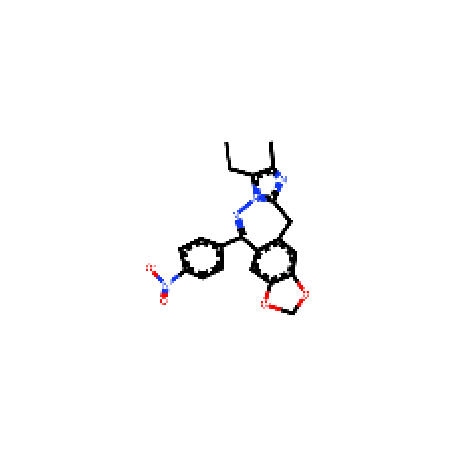 CCc1c(C)nc2n1N=C(c1ccc([N+](=O)[O-])cc1)c1cc3c(cc1C2)OCO3